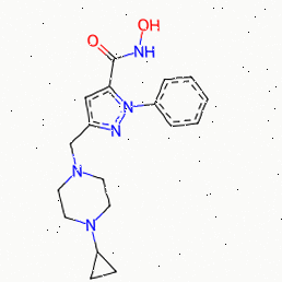 O=C(NO)c1cc(CN2CCN(C3CC3)CC2)nn1-c1ccccc1